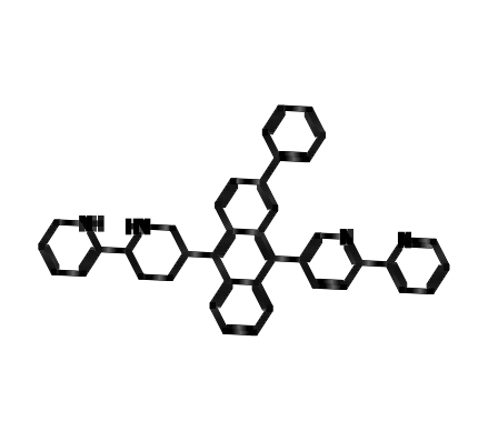 C1=CCNC(C2CCC(c3c4ccccc4c(-c4ccc(-c5ccccn5)nc4)c4cc(-c5ccccc5)ccc34)CN2)=C1